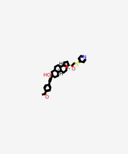 CC(=O)c1ccc(C#CC2(O)CC[C@@]3(C)C(CC[C@H]4[C@@H]5CC[C@H](C(=O)CSc6ccncc6)[C@@]5(C)CC[C@@H]43)C2)cc1